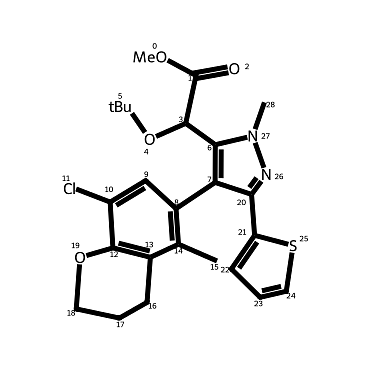 COC(=O)C(OC(C)(C)C)c1c(-c2cc(Cl)c3c(c2C)CCCO3)c(-c2cccs2)nn1C